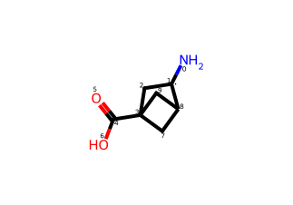 N[C]1CC2(C(=O)O)CC1C2